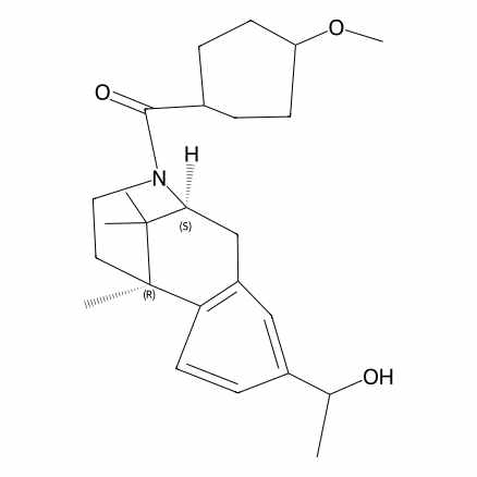 COC1CCC(C(=O)N2CC[C@]3(C)c4ccc(C(C)O)cc4C[C@H]2C3(C)C)CC1